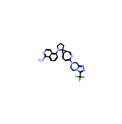 Nc1nccc2c(N3CCCC34C3=CC=C(N5CCn6c(nnc6C(F)(F)F)C5)N=CC34)cccc12